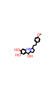 COc1ccc(CCC2CCC(C(O)c3ccc(O)c(O)c3)N2)cc1